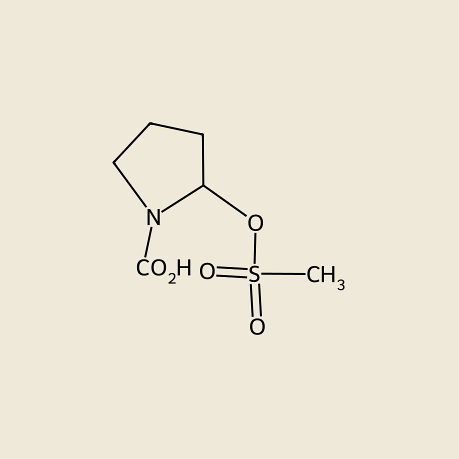 CS(=O)(=O)OC1CCCN1C(=O)O